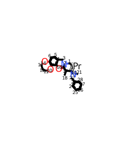 CC(C)CN(Cc1ccc2c(c1)OCCCO2)C(=O)C(C)CN(C)Cc1ccccc1